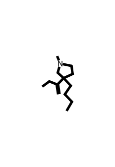 C=C(CC)C1(CCCC)CCN(C)C1